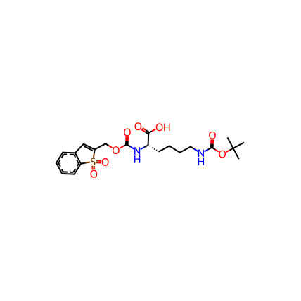 CC(C)(C)OC(=O)NCCCC[C@H](NC(=O)OCC1=Cc2ccccc2S1(=O)=O)C(=O)O